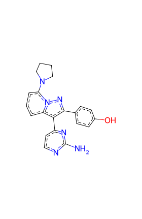 Nc1nccc(-c2c(-c3ccc(O)cc3)nn3c(N4CCCC4)cccc23)n1